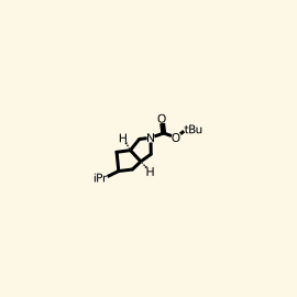 CC(C)C1C[C@@H]2CN(C(=O)OC(C)(C)C)C[C@@H]2C1